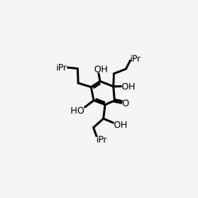 CC(C)CCC1=C(O)C(O)(CCC(C)C)C(=O)C(C(O)CC(C)C)=C1O